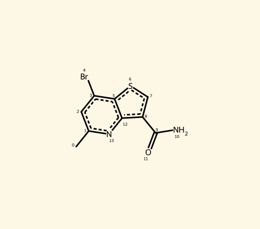 Cc1cc(Br)c2scc(C(N)=O)c2n1